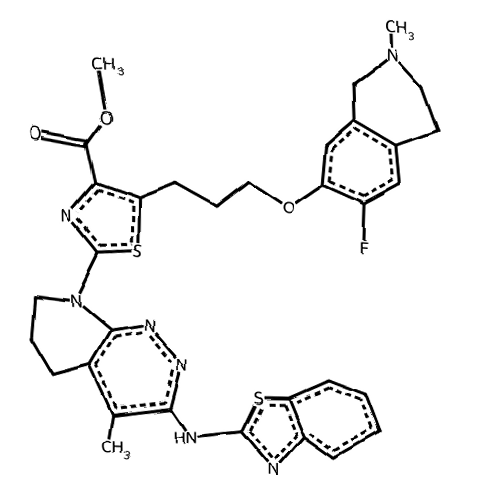 COC(=O)c1nc(N2CCCc3c2nnc(Nc2nc4ccccc4s2)c3C)sc1CCCOc1cc2c(cc1F)CCN(C)C2